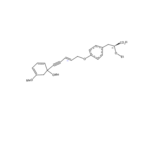 CCO[C@@H](Cc1ccc(OC/C=C/C#CC2(OC)C=CC=C(OC)C2)cc1)C(=O)O